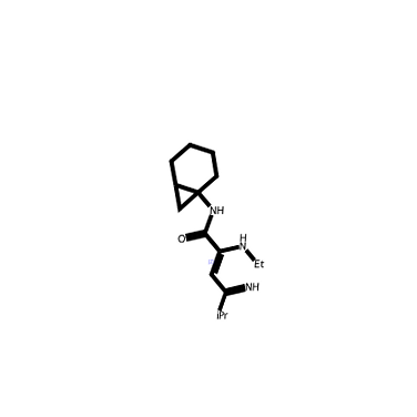 CCN/C(=C\C(=N)C(C)C)C(=O)NC12CCCCC1C2